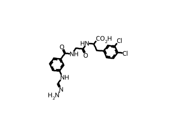 NN=CNc1cccc(C(=O)NCC(=O)NC(Cc2ccc(Cl)c(Cl)c2)C(=O)O)c1